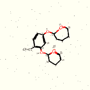 O=Cc1ccc(OC2CCCCO2)cc1OC1CCCCO1